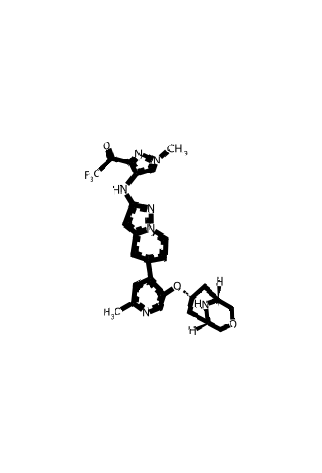 Cc1cc(-c2ccn3nc(Nc4cn(C)nc4C(=O)C(F)(F)F)cc3c2)c(O[C@H]2C[C@H]3COC[C@@H](C2)N3)cn1